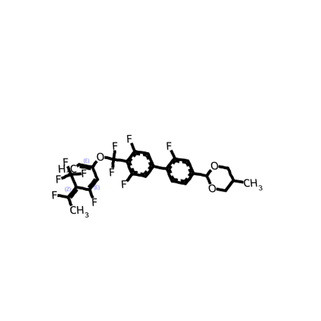 C\C=C(/C=C(F)\C(=C(/C)F)C(F)(F)F)OC(F)(F)c1c(F)cc(-c2ccc(C3OCC(C)CO3)cc2F)cc1F